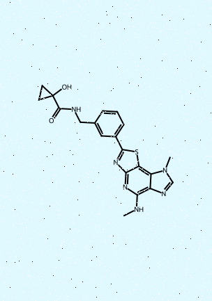 CNc1nc2nc(-c3cccc(CNC(=O)C4(O)CC4)c3)sc2c2c1ncn2C